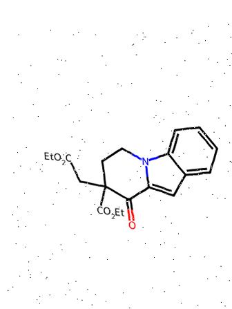 CCOC(=O)CC1(C(=O)OCC)CCn2c(cc3ccccc32)C1=O